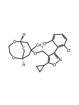 CC1(OCc2c(-c3c(Cl)cccc3Cl)noc2C2CC2)C[C@@H]2CC[C@@H](C1)OCCO2